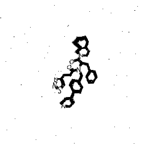 O=C(C(Cc1ccccc1)N(Cc1ccc(-c2ccncc2)cc1)C(=O)C=Cc1csnn1)N1CCc2ccccc2C1